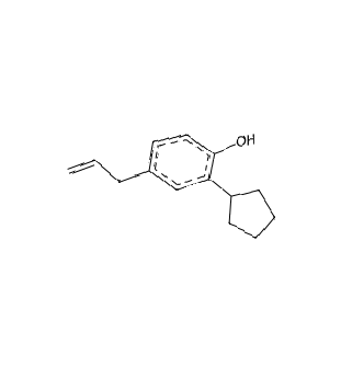 C=CCc1ccc(O)c(C2CCCC2)c1